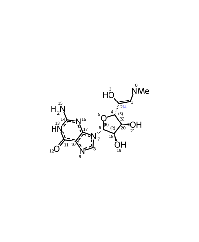 CN/C=C(\O)[C@H]1O[C@@H](n2cnc3c(=O)[nH]c(N)nc32)[C@H](O)[C@@H]1O